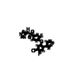 O=S(=O)(Nc1ncns1)c1ccc(Oc2cc(Cl)c(F)cc2-c2ccnnc2)c(F)c1